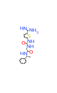 C[C@H](NC(=O)CNC(=O)Nc1ccc(C(=N)N)s1)c1ccccc1